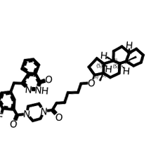 C[C@]12CCCC[C@@H]1CC[C@@H]1[C@@H]2CC[C@]2(C)[C@@H](OCCCCCC(=O)N3CCN(C(=O)c4cc(Cc5n[nH]c(=O)c6ccccc56)ccc4F)CC3)CC[C@@H]12